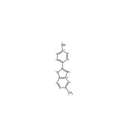 Cc1ccc2oc(-c3ccc(O)cc3)nc2c1